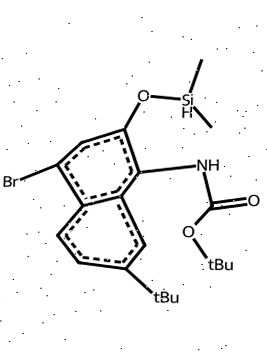 C[SiH](C)Oc1cc(Br)c2ccc(C(C)(C)C)cc2c1NC(=O)OC(C)(C)C